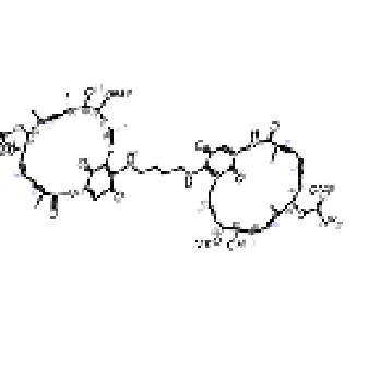 CO[C@H]1/C=C\C=C(/C)C(=O)NC2=CC(=O)C(NCCCCNC3=C4C[C@@H](C)C[C@H](OC)[C@H](O)[C@@H](C)/C=C(\C)[C@H](OC(N)=O)[C@@H](OC)/C=C\C=C(/C)C(=O)NC(=CC3=O)C4=O)=C(C[C@@H](C)C[C@H](OC)[C@H](O)[C@@H](C)/C=C(\C)[C@@H]1OC(N)=O)C2=O